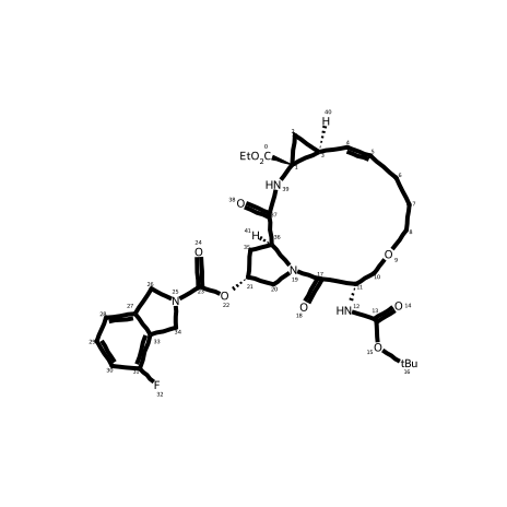 CCOC(=O)[C@@]12C[C@H]1/C=C\CCCOC[C@H](NC(=O)OC(C)(C)C)C(=O)N1C[C@H](OC(=O)N3Cc4cccc(F)c4C3)C[C@H]1C(=O)N2